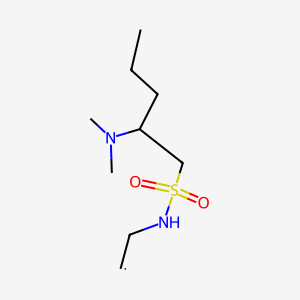 [CH2]CNS(=O)(=O)CC(CCC)N(C)C